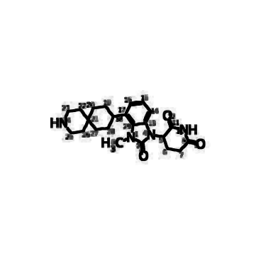 Cn1c(=O)n(C2CCC(=O)NC2=O)c2cccc(C3CCC4(CCNCC4)CC3)c21